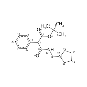 CC(C)(C)OC(=O)C(C(=O)NCN1CCCC1)c1[c]cccc1